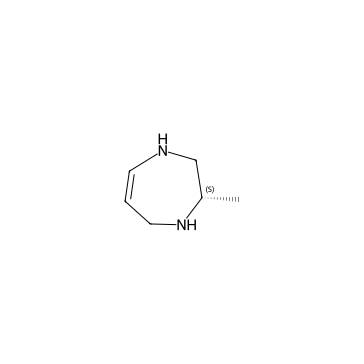 C[C@H]1CNC=CCN1